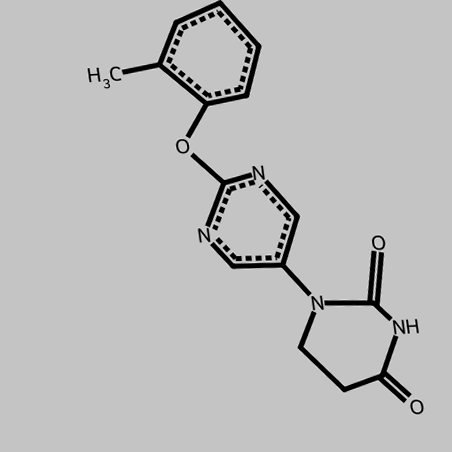 Cc1ccccc1Oc1ncc(N2CCC(=O)NC2=O)cn1